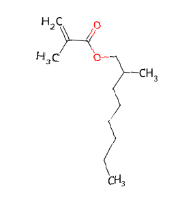 C=C(C)C(=O)OCC(C)CCCCCC